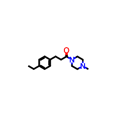 CCc1ccc(CCC(=O)N2CCN(C)CC2)cc1